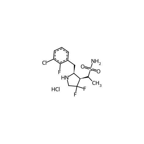 CC([C@@H]1[C@H](Cc2cccc(Cl)c2F)NCC1(F)F)S(N)(=O)=O.Cl